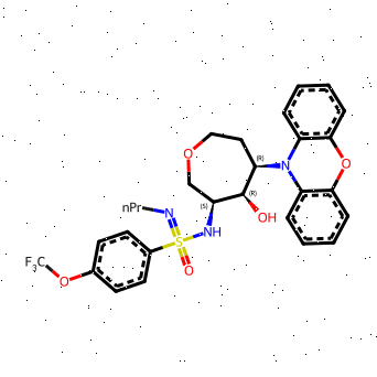 CCCN=S(=O)(N[C@H]1COCC[C@@H](N2c3ccccc3Oc3ccccc32)[C@H]1O)c1ccc(OC(F)(F)F)cc1